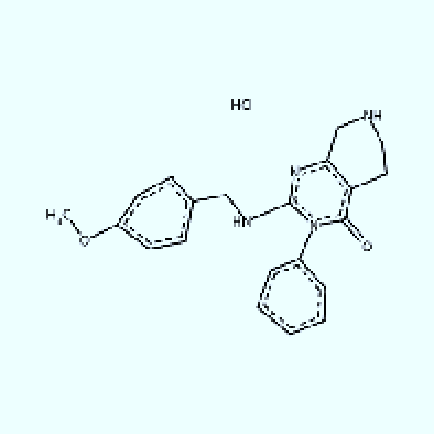 COc1ccc(CNc2nc3c(c(=O)n2-c2ccccc2)CCNC3)cc1.Cl